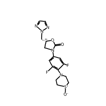 O=C1O[C@@H](Cn2nccn2)CN1c1cc(F)c(N2CC[S+]([O-])CC2)c(F)c1